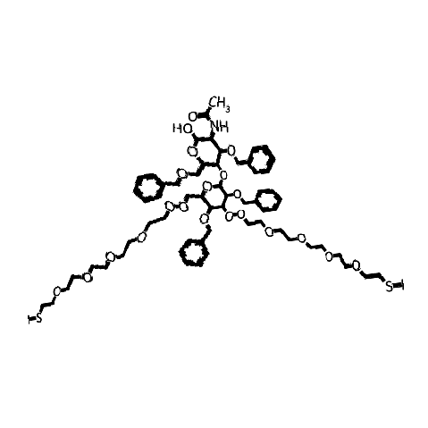 CC(=O)NC1C(O)OC(COCc2ccccc2)C(OC2OC(COOCCOCCOCCOCCOCCSI)C(OCc3ccccc3)C(OOCCOCCOCCOCCOCCSI)C2OCc2ccccc2)C1OCc1ccccc1